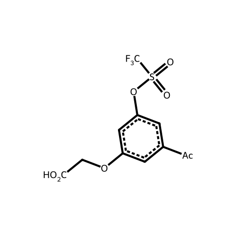 CC(=O)c1cc(OCC(=O)O)cc(OS(=O)(=O)C(F)(F)F)c1